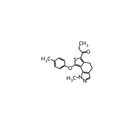 CCC(=O)c1sc(Oc2ccc(C)cc2)c2c1CCc1cnn(C)c1-2